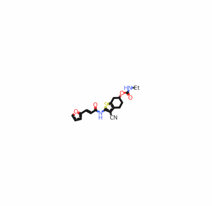 CCNC(=O)OC1CCc2c(sc(NC(=O)C=Cc3ccco3)c2C#N)C1